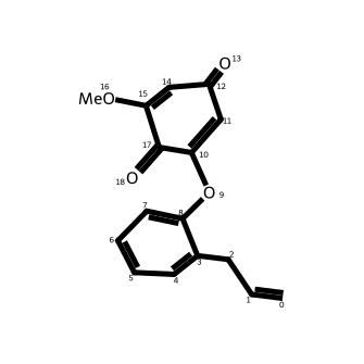 C=CCc1ccccc1OC1=CC(=O)C=C(OC)C1=O